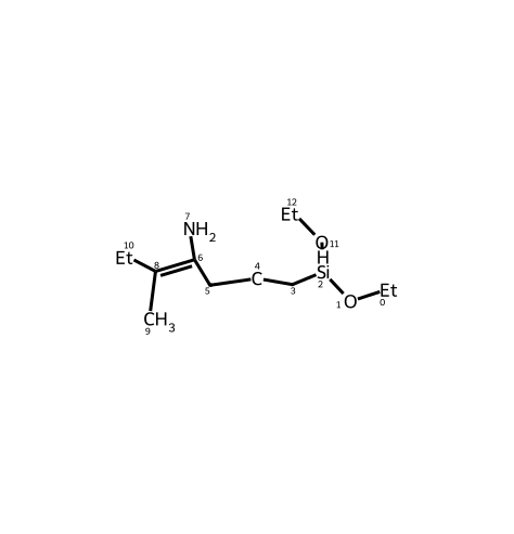 CCO[SiH](CCCC(N)=C(C)CC)OCC